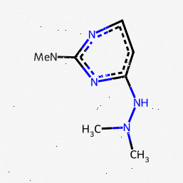 CNc1nccc(NN(C)C)n1